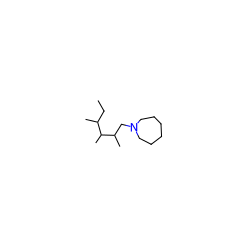 CCC(C)C(C)C(C)CN1CCCCCC1